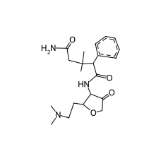 CN(C)CCC1OCC(=O)C1NC(=O)C(c1ccccc1)C(C)(C)CC(N)=O